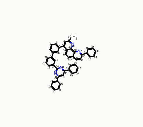 Cc1cc(-c2cccc(-c3cccc(-c4nc(-c5ccccc5)cc(-c5ccccc5)n4)c3)c2)c2ccc3ccc(-c4ccccc4)nc3c2n1